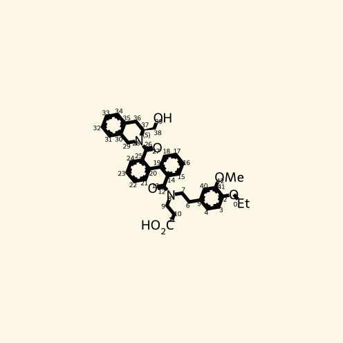 CCOc1ccc(CCN(CCC(=O)O)C(=O)c2ccccc2-c2ccccc2C(=O)N2Cc3ccccc3C[C@H]2CO)cc1OC